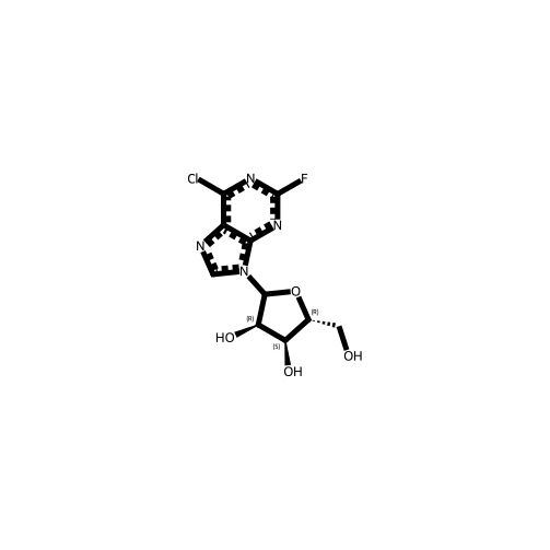 OC[C@H]1OC(n2cnc3c(Cl)nc(F)nc32)[C@H](O)[C@@H]1O